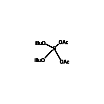 CC(=O)O[Si](OCC(C)C)(OCC(C)C)OC(C)=O